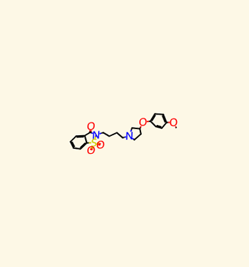 COc1ccc(OC2CCN(CCCCN3C(=O)c4ccccc4S3(=O)=O)C2)cc1